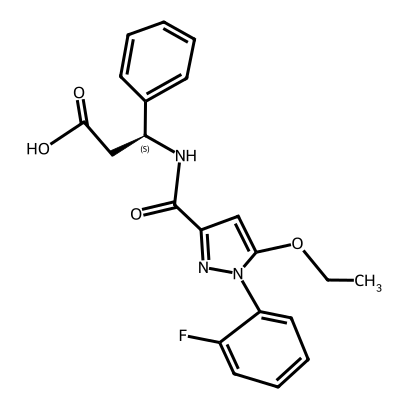 CCOc1cc(C(=O)N[C@@H](CC(=O)O)c2ccccc2)nn1-c1ccccc1F